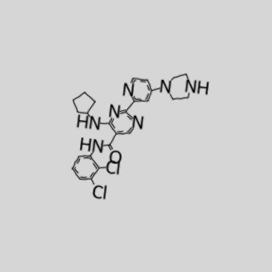 O=C(Nc1cccc(Cl)c1Cl)c1cnc(-c2cc(N3CCNCC3)ccn2)nc1NC1CCCC1